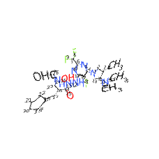 C[C@H]1CN(c2nc(C(F)F)nc(NNC(=O)[C@H](CC3CCCC3)CN(O)C=O)c2F)C[C@@H]1N(C)C